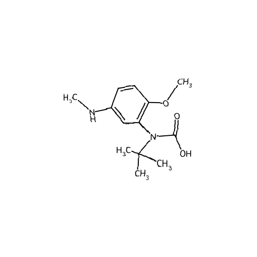 CNc1ccc(OC)c(N(C(=O)O)C(C)(C)C)c1